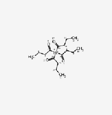 CCC[C](=O)[Hf]([C](=O)CCC)([C](=O)CCC)[C](=O)CCC